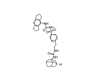 O=C(Nc1c2c(cc3c1CCC3)CCC2)NS(=O)(=O)c1ccc(CCNC(=O)N[C@]23CC4CC(C[C@H](C4)C2)C3)cc1